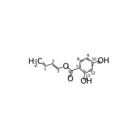 C=CC=COC(=O)c1ccc(O)cc1O